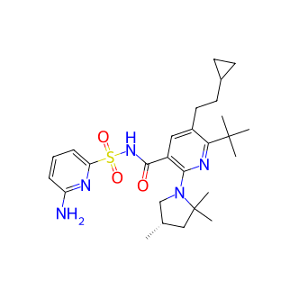 C[C@@H]1CN(c2nc(C(C)(C)C)c(CCC3CC3)cc2C(=O)NS(=O)(=O)c2cccc(N)n2)C(C)(C)C1